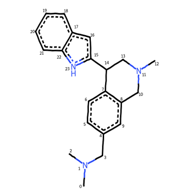 CN(C)Cc1ccc2c(c1)CN(C)CC2c1cc2ccccc2[nH]1